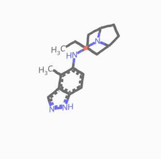 CCCN1C2CCC1CC(Nc1ccc3[nH]ncc3c1C)C2